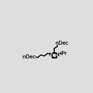 CCCCCCCCCCCCCCn1cc[n+](C(C)C)c1CCCCCCCCCCCC